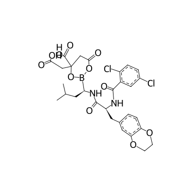 CC(C)C[C@H](NC(=O)[C@H](Cc1ccc2c(c1)OCCO2)NC(=O)c1cc(Cl)ccc1Cl)B1OC(=O)CC(CC(=O)O)(C(=O)O)O1